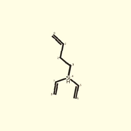 C=CCC[SiH](C=C)C=C